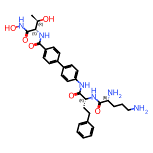 C[C@@H](O)[C@H](NC(=O)c1ccc(-c2ccc(NC(=O)[C@@H](CCc3ccccc3)NC(=O)[C@H](N)CCCN)cc2)cc1)C(=O)NO